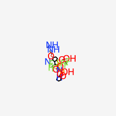 N#Cc1c(OCCNC=N)ccc2sc(S(=O)(=O)NCP(=O)(O)Oc3ccccc3)c(C(F)(F)F)c12.O=C(O)C(F)(F)F